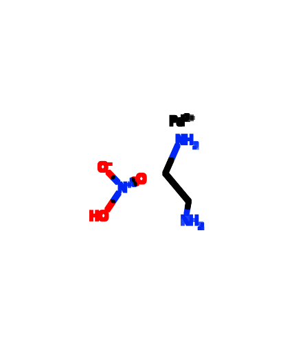 NCCN.O=[N+]([O-])O.[Pd+2]